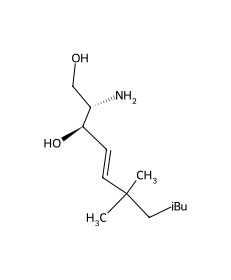 CCC(C)CC(C)(C)/C=C/[C@@H](O)[C@@H](N)CO